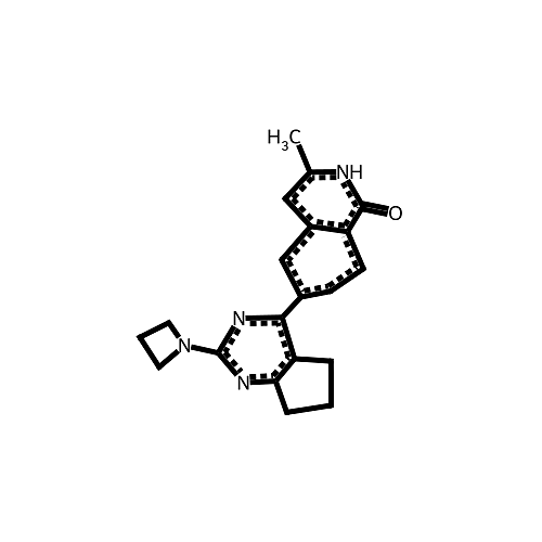 Cc1cc2cc(-c3nc(N4CCC4)nc4c3CCC4)ccc2c(=O)[nH]1